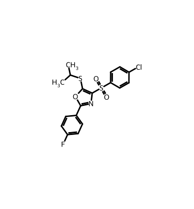 CC(C)Sc1oc(-c2ccc(F)cc2)nc1S(=O)(=O)c1ccc(Cl)cc1